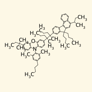 CCCCc1cc(C)c(N2c3ccc(C(C)(C)CC)cc3Oc3cc(C(C)(CCC)C(C)(CCC)c4ccc5c(c4)C(CCCC)(CCCC)c4cc(C(C)CC)c6ccccc6c4-5)ccc32)c(C)c1